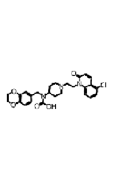 O=C(O)N(Cc1ccc2c(c1)OCCO2)C1CCN(CCn2c(=O)ccc3c(Cl)cccc32)CC1